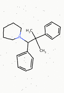 CC(C)(c1ccccc1)C(c1ccccc1)N1CCCCC1